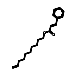 C=CCCCCCCCCOC(=O)C=Cc1ccccc1